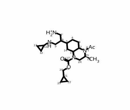 CC(=O)N1C2CCC(C(CN)CNC3CC3)CC2N(C(=O)OCC2CC2)C[C@@H]1C